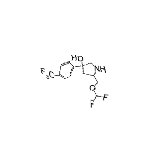 OC1(c2ccc(C(F)(F)F)cc2)CNC(COC(F)F)C1